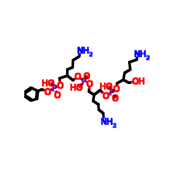 NCCCCC(CO)COP(=O)(O)OCC(CCCCN)COP(=O)(O)OCC(CCCCN)COP(=O)(O)OCc1ccccc1